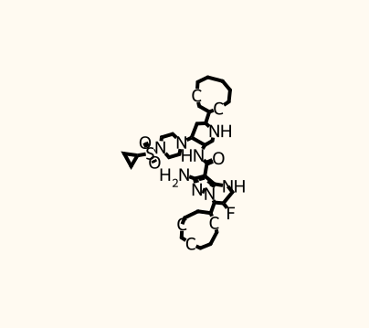 Nc1nn2c(c1C(=O)NC1CNC(C3CCCCCCCC3)CC1N1CCN(S(=O)(=O)C3CC3)CC1)NCC(F)C2C1CCCCCCCCC1